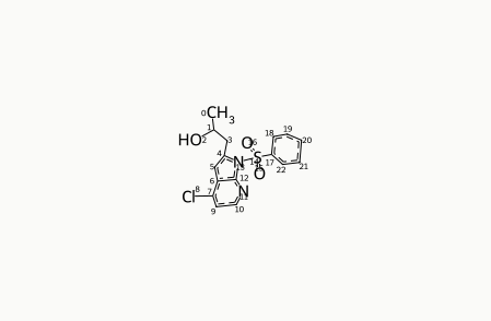 CC(O)Cc1cc2c(Cl)ccnc2n1S(=O)(=O)c1ccccc1